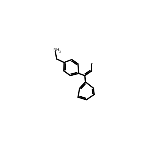 [CH2]C=C(c1ccccc1)c1ccc(CN)cc1